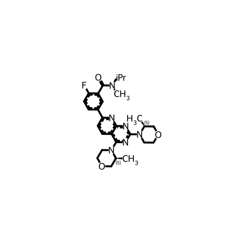 CC(C)N(C)C(=O)c1cc(-c2ccc3c(N4CCOC[C@@H]4C)nc(N4CCOC[C@@H]4C)nc3n2)ccc1F